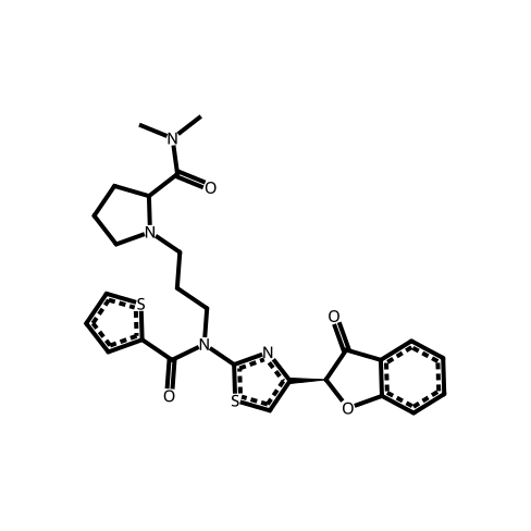 CN(C)C(=O)C1CCCN1CCCN(C(=O)c1cccs1)c1nc([C@@H]2Oc3ccccc3C2=O)cs1